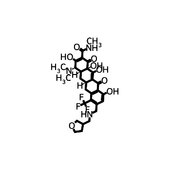 CNC(=O)C1=C(O)[C@@H](N(C)C)[C@@H]2C[C@@H]3Cc4c(c(O)cc(CNCC5CCOC5)c4C(F)(F)F)C(=O)C3=C(O)[C@]2(O)C1=O